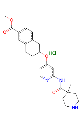 COC(=O)c1ccc2c(c1)CCC(Oc1ccnc(NC(=O)C3(C)CCNCC3)c1)C2.Cl